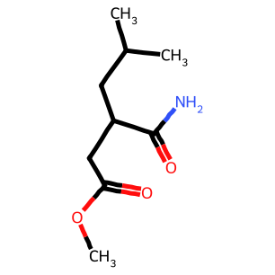 COC(=O)CC(CC(C)C)C(N)=O